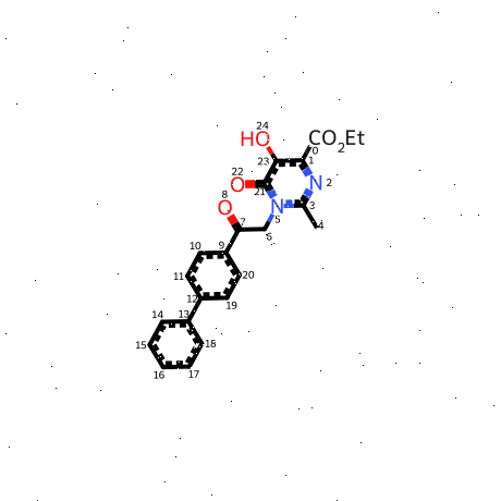 CCOC(=O)c1nc(C)n(CC(=O)c2ccc(-c3ccccc3)cc2)c(=O)c1O